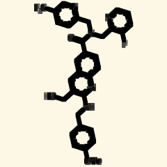 COc1ccc(CNc2nc3ccc(C(=O)N(Cc4ccc(C(F)(F)F)cn4)Cc4ncccc4F)cc3cc2CO)cc1